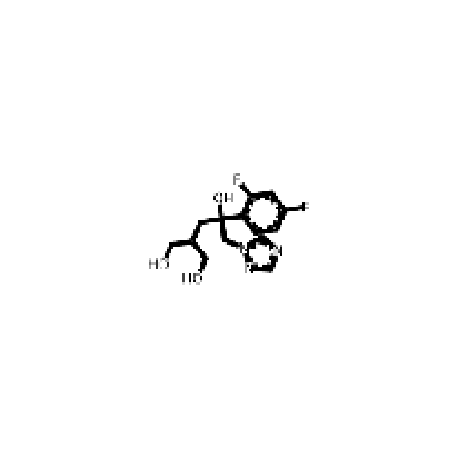 OCC(CO)CC(O)(Cn1cncn1)c1ccc(F)cc1F